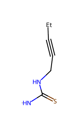 CCC#CCNC([NH])=S